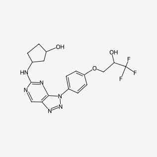 OC1CCC(Nc2ncc3nnn(-c4ccc(OCC(O)C(F)(F)F)cc4)c3n2)C1